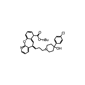 CCCCOC(=O)C1C=CC=C2Oc3ncccc3C(=CCCN3CCC(O)(c4ccc(Cl)cc4)CC3)C=C21